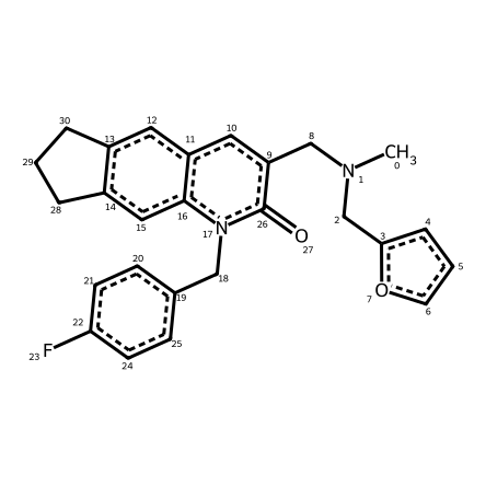 CN(Cc1ccco1)Cc1cc2cc3c(cc2n(Cc2ccc(F)cc2)c1=O)CCC3